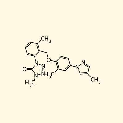 Cc1cnn(-c2ccc(OCc3c(C)cccc3-n3nnn(C)c3=O)c(C)c2)c1